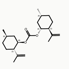 C=C(C)[C@@H]1CC[C@@H](C)C[C@H]1OC(=O)O[C@@H]1C[C@H](C)CC[C@H]1C(=C)C